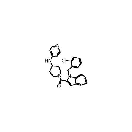 O=C(c1cc2ccccc2n1Cc1ccccc1Cl)N1CCC(Nc2ccncc2)CC1